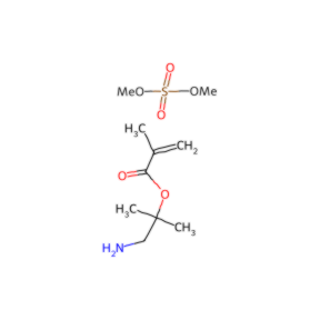 C=C(C)C(=O)OC(C)(C)CN.COS(=O)(=O)OC